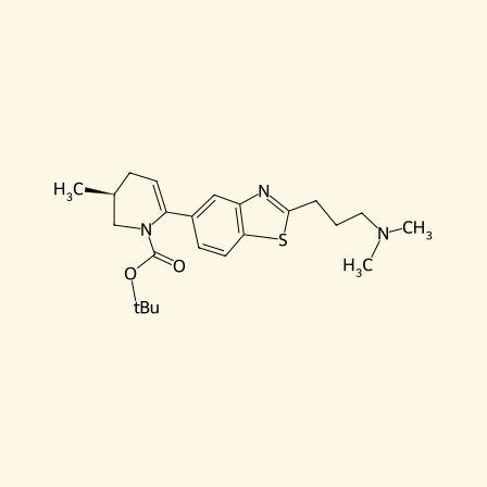 C[C@H]1CC=C(c2ccc3sc(CCCN(C)C)nc3c2)N(C(=O)OC(C)(C)C)C1